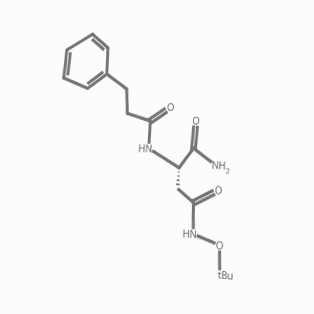 CC(C)(C)ONC(=O)C[C@H](NC(=O)CCc1ccccc1)C(N)=O